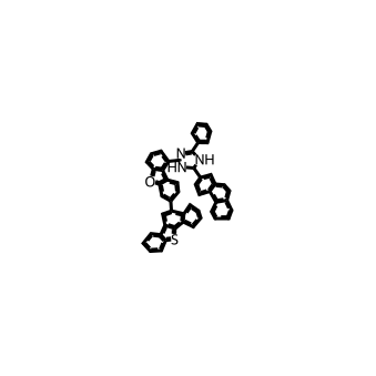 c1ccc(C2=NC(c3cccc4oc5cc(-c6cc7c8ccccc8sc7c7ccccc67)ccc5c34)NC(c3ccc4c(ccc5ccccc54)c3)N2)cc1